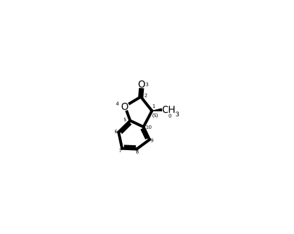 C[C@@H]1C(=O)Oc2ccccc21